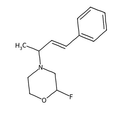 CC(C=Cc1ccccc1)N1CCOC(F)C1